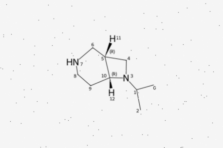 CC(C)N1C[C@H]2CNCC[C@H]21